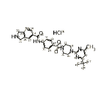 Cc1cc(C(F)(F)F)nc(N2CCN(S(=O)(=O)c3ccc(NC(=O)c4cnc5c(c4)CNC5)cc3)CC2)n1.Cl